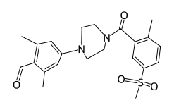 Cc1ccc(S(C)(=O)=O)cc1C(=O)N1CCN(c2cc(C)c(C=O)c(C)c2)CC1